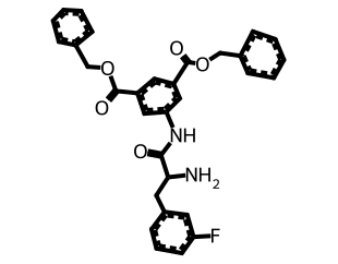 NC(Cc1cccc(F)c1)C(=O)Nc1cc(C(=O)OCc2ccccc2)cc(C(=O)OCc2ccccc2)c1